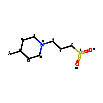 [CH2]C1CCN(CCC[SH](=O)=O)CC1